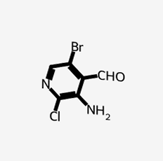 Nc1c(Cl)ncc(Br)c1C=O